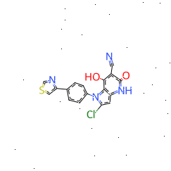 N#Cc1c(O)c2c(cc(Cl)n2-c2ccc(-c3cscn3)cc2)[nH]c1=O